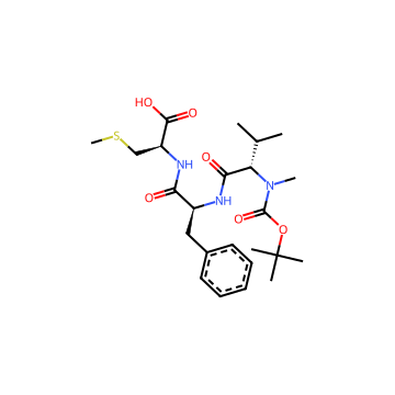 CSC[C@H](NC(=O)[C@H](Cc1ccccc1)NC(=O)[C@H](C(C)C)N(C)C(=O)OC(C)(C)C)C(=O)O